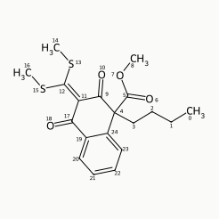 CCCCC1(C(=O)OC)C(=O)C(=C(SC)SC)C(=O)c2ccccc21